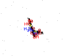 CCOC(=O)C(O)=CSCC(N)C(=O)NC(CSC=C(O)C(=O)OCC)C(=O)NCC(=O)O